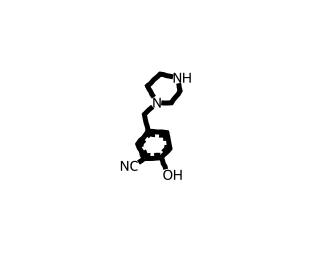 N#Cc1cc(CN2CCNCC2)ccc1O